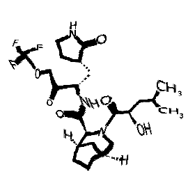 CC(C)C[C@@H](O)C(=O)N1C[C@H]2CC[C@H](C2)[C@H]1C(=O)N[C@@H](C[C@@H]1CCNC1=O)C(=O)COC(F)(F)F